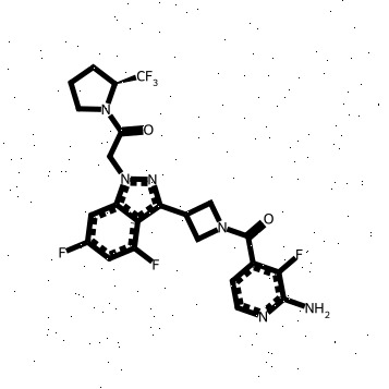 Nc1nccc(C(=O)N2CC(c3nn(CC(=O)N4CCC[C@H]4C(F)(F)F)c4cc(F)cc(F)c34)C2)c1F